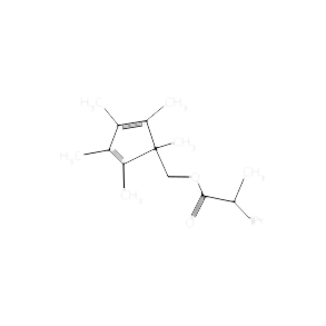 CC1=C(C)C(C)(COC(=O)C(C)C(C)C)C(C)=C1C